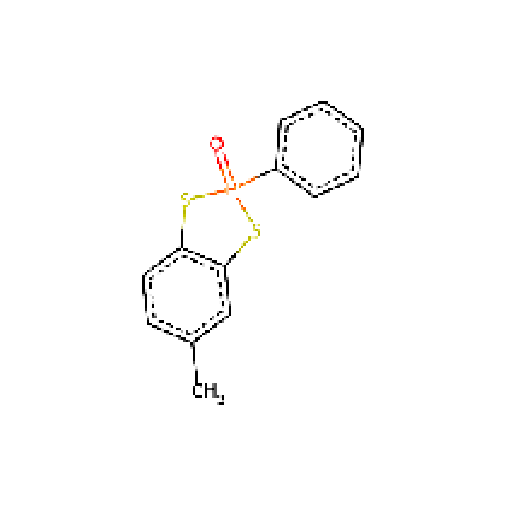 Cc1ccc2c(c1)SP(=O)(c1ccccc1)S2